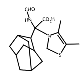 CC1=C(C)N(C(NC=O)(C(=O)O)C2C3CC4CC(C3)CC2C4)CS1